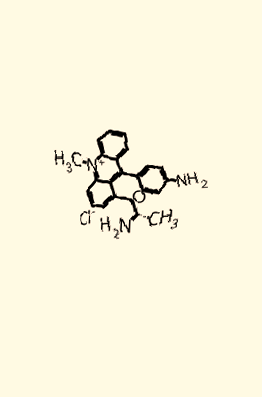 C[C@H](N)C(=O)c1cccc2c1c(-c1ccc(N)cc1)c1ccccc1[n+]2C.[Cl-]